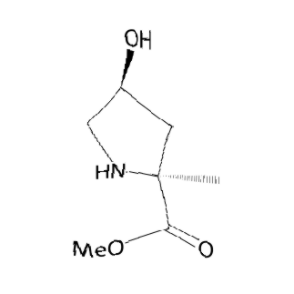 COC(=O)[C@]1(C)C[C@H](O)CN1